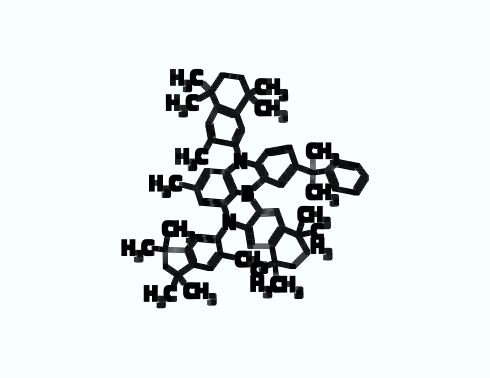 Cc1cc2c3c(c1)N(c1cc4c(cc1C)C(C)(C)CC4(C)C)c1cc4c(cc1B3c1cc(C(C)(C)c3ccccc3)ccc1N2c1cc2c(cc1C)C(C)(C)CCC2(C)C)C(C)(C)CCC4(C)C